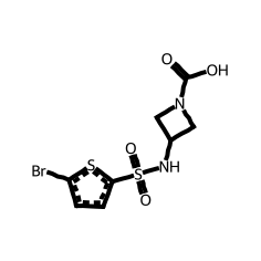 O=C(O)N1CC(NS(=O)(=O)c2ccc(Br)s2)C1